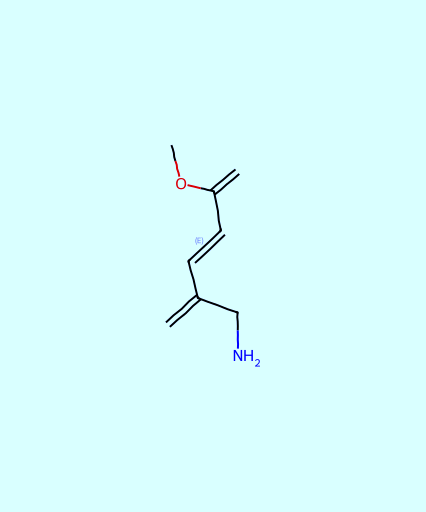 C=C(/C=C/C(=C)OC)CN